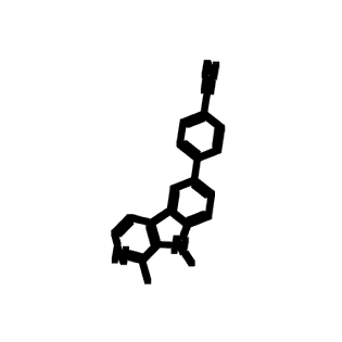 Cc1nccc2c3cc(-c4ccc(C#N)cc4)ccc3n(C)c12